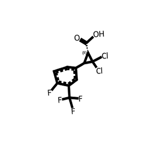 O=C(O)[C@H]1C(c2ccc(F)c(C(F)(F)F)c2)C1(Cl)Cl